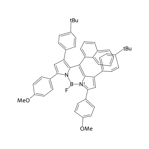 COc1ccc(C2=[N+]3B(F)n4c(-c5ccc(OC)cc5)cc(-c5ccc(C(C)(C)C)cc5)c4C(c4cccc5ccccc45)=C3C(c3ccc(C(C)(C)C)cc3)=C2)cc1